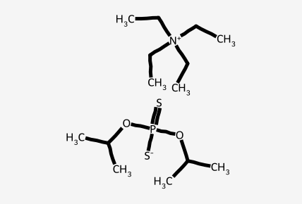 CC(C)OP(=S)([S-])OC(C)C.CC[N+](CC)(CC)CC